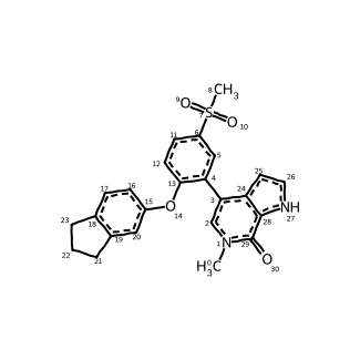 Cn1cc(-c2cc(S(C)(=O)=O)ccc2Oc2ccc3c(c2)CCC3)c2cc[nH]c2c1=O